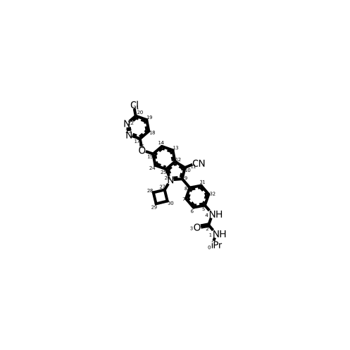 CC(C)NC(=O)Nc1ccc(-c2c(C#N)c3ccc(Oc4ccc(Cl)nn4)cc3n2C2CCC2)cc1